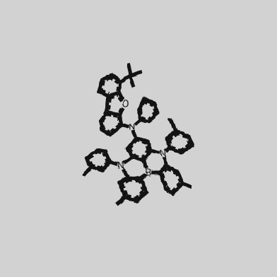 Cc1cccc(N2c3cc(C)ccc3B3c4ccc(C)cc4N(c4cccc(C)c4)c4cc(N(c5ccccc5)c5cccc6c5oc5c(C(C)(C)C)cccc56)cc2c43)c1